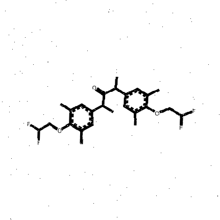 Cc1cc(C(C)C(=O)C(C)c2cc(C)c(OCC(F)F)c(C)c2)cc(C)c1OCC(F)F